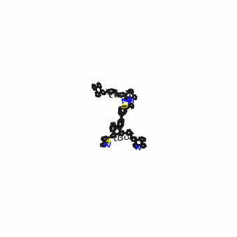 CC(C)(C)c1c(-c2ccc3c(c2)-c2ccc(-c4ccc5sc6c(-c7ncc8c(n7)-c7ccccc7-c7ccccc7-c7cc(-c9cccc(-c%10ccc%11c(c%10)-c%10ccccc%10-c%10ccccc%10-c%10ccccc%10-%11)c9C(C)(C)C)ccc7-8)cccc6c5c4)cc2-c2ccccc2-c2cc(-c4cccc5c4sc4ncccc45)ccc2-3)cccc1-c1ccc2c(c1)-c1ccccc1-c1ccccc1-c1ncccc1-2